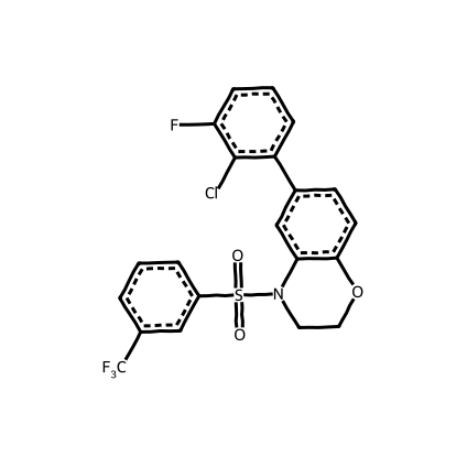 O=S(=O)(c1cccc(C(F)(F)F)c1)N1CCOc2ccc(-c3cccc(F)c3Cl)cc21